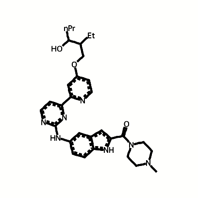 CCCC(O)C(CC)COc1ccnc(-c2ccnc(Nc3ccc4[nH]c(C(=O)N5CCN(C)CC5)cc4c3)n2)c1